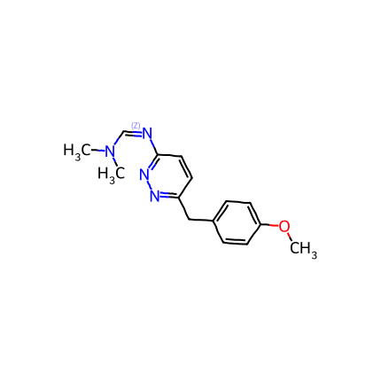 COc1ccc(Cc2ccc(/N=C\N(C)C)nn2)cc1